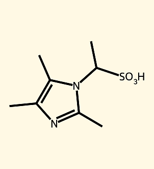 Cc1nc(C)n(C(C)S(=O)(=O)O)c1C